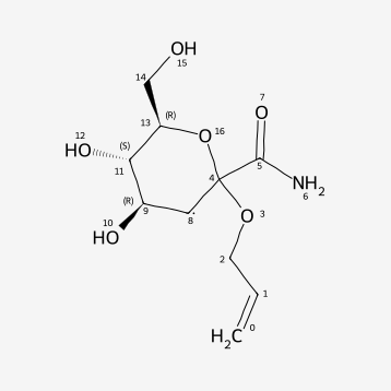 C=CCOC1(C(N)=O)[CH][C@@H](O)[C@H](O)[C@@H](CO)O1